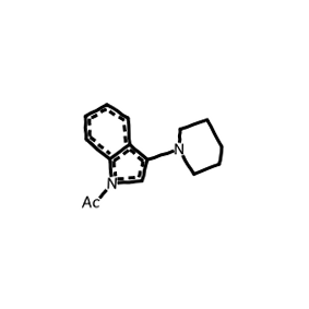 CC(=O)n1cc(N2CCCCC2)c2ccccc21